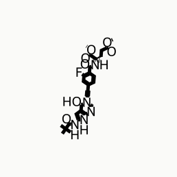 COC(=O)CC[C@@H](NC(=O)c1ccc(C#CN2C=Nc3[nH]c(NC(=O)C(C)(C)C)cc3C2O)cc1F)C(=O)OC